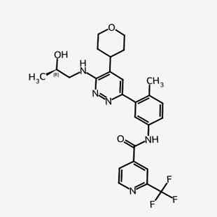 Cc1ccc(NC(=O)c2ccnc(C(F)(F)F)c2)cc1-c1cc(C2CCOCC2)c(NC[C@@H](C)O)nn1